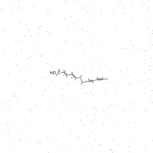 CC#CC#CCC/C=C/C=C/C(=O)O